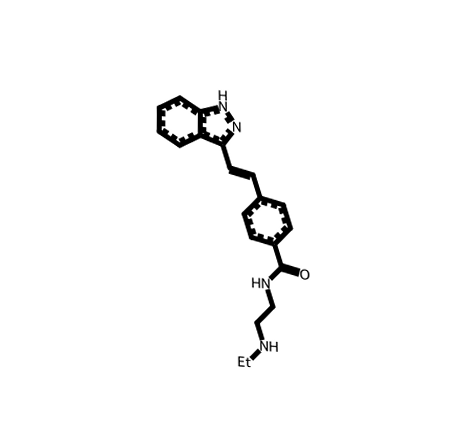 CCNCCNC(=O)c1ccc(C=Cc2n[nH]c3ccccc23)cc1